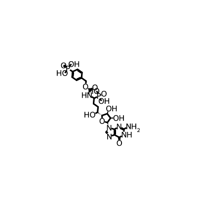 Nc1nc2c(ncn2[C@@H]2O[C@H](C(O)CCC(NC(=O)OCc3ccc(P(=O)(O)O)cc3)P(=O)(O)O)[C@@H](O)[C@H]2O)c(=O)[nH]1